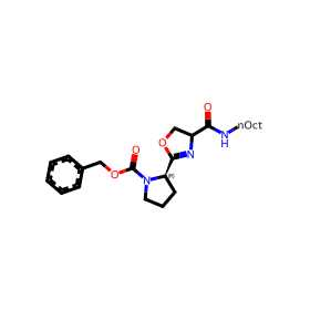 CCCCCCCCNC(=O)C1COC([C@H]2CCCN2C(=O)OCc2ccccc2)=N1